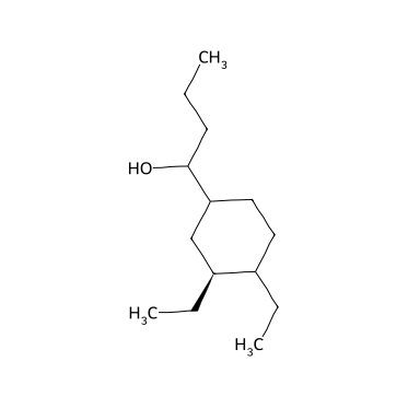 CCCC(O)C1CCC(CC)[C@@H](CC)C1